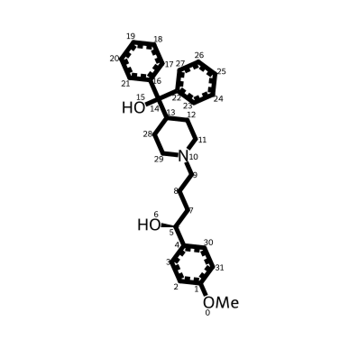 COc1ccc([C@@H](O)CCCN2CCC(C(O)(c3ccccc3)c3ccccc3)CC2)cc1